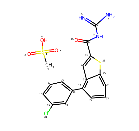 CS(=O)(=O)O.N=C(N)NC(=O)c1cc2c(-c3cccc(Cl)c3)cccc2s1